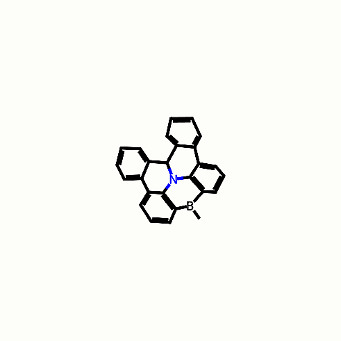 CB1c2cccc3c2N2c4c1cccc4-c1ccccc1C2c1ccccc1-3